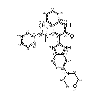 C[C@H](Nc1c(-c2nc3ccc(N4CCOCC4)cc3[nH]2)c(=O)[nH]c2ccccc12)c1cnccn1